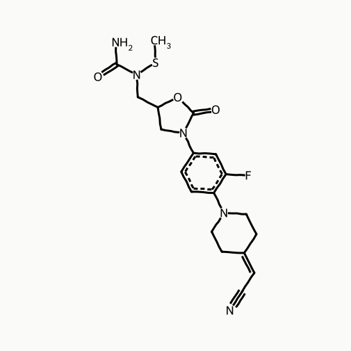 CSN(CC1CN(c2ccc(N3CCC(=CC#N)CC3)c(F)c2)C(=O)O1)C(N)=O